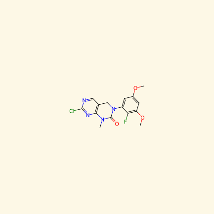 COc1cc(OC)c(F)c(N2Cc3cnc(Cl)nc3N(C)C2=O)c1